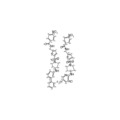 O=C(NCc1ccc(S(=O)(=O)N2CCC(Nc3cccc(-c4ccccc4)c3)CC2)s1)c1ccc([N+](=O)[O-])cc1.O=C(NCc1ccc(S(=O)(=O)N2CCC(Nc3ncc(C(F)(F)F)cc3Cl)CC2)s1)c1ccc([N+](=O)[O-])cc1